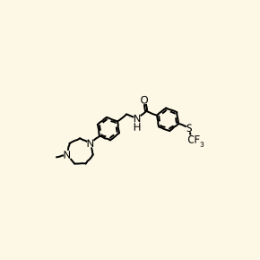 CN1CCCN(c2ccc(CNC(=O)c3ccc(SC(F)(F)F)cc3)cc2)CC1